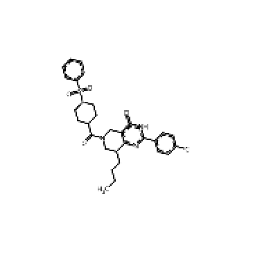 CCCCC1CN(C(=O)C2CCN(S(=O)(=O)c3ccccc3)CC2)Cc2c1nc(-c1ccc(Cl)cc1)[nH]c2=O